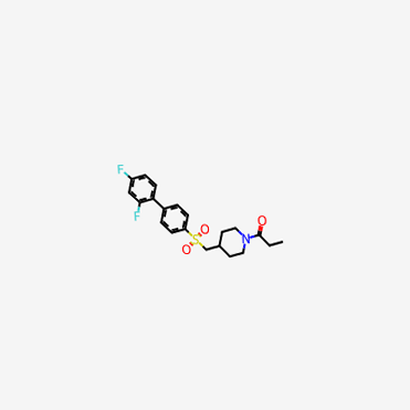 CCC(=O)N1CCC(CS(=O)(=O)c2ccc(-c3ccc(F)cc3F)cc2)CC1